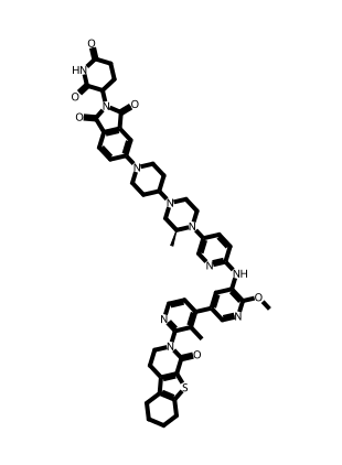 COc1ncc(-c2ccnc(N3CCc4c(sc5c4CCCC5)C3=O)c2C)cc1Nc1ccc(N2CCN(C3CCN(c4ccc5c(c4)C(=O)N(C4CCC(=O)NC4=O)C5=O)CC3)C[C@@H]2C)cn1